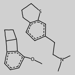 CN(C)CCc1ccc2c(c1)SCCC2.COc1cccc2c1C1CCC21